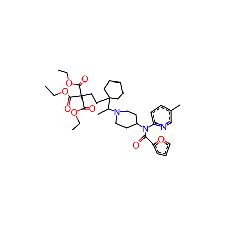 CCOC(=O)C(CCC1(C(C)N2CCC(N(C(=O)c3ccco3)c3ccc(C)cn3)CC2)CCCCC1)(C(=O)OCC)C(=O)OCC